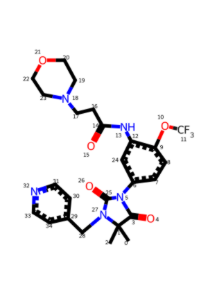 CC1(C)C(=O)N(c2ccc(OC(F)(F)F)c(NC(=O)CCN3CCOCC3)c2)C(=O)N1Cc1ccncc1